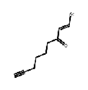 C#CCCCCC(=O)/C=C/C(C)=O